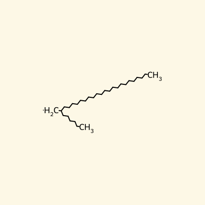 [CH2]C(CCCCCC)CCCCCCCCCCCCCCCCCCCCCC